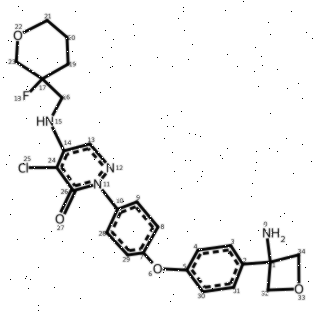 NC1(c2ccc(Oc3ccc(-n4ncc(NCC5(F)CCCOC5)c(Cl)c4=O)cc3)cc2)COC1